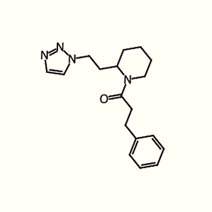 O=C(CCc1ccccc1)N1CCCCC1CCn1ccnn1